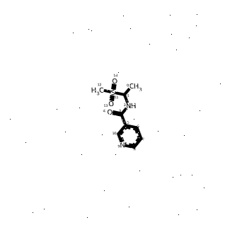 CC(NC(=O)c1c[c]cnc1)S(C)(=O)=O